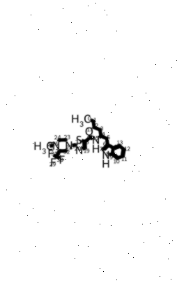 CCCCC(Cc1c[nH]c2ccccc12)NC(=O)c1cnc(N2CCN(C)C(C(F)(F)F)C2)s1